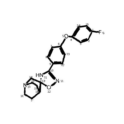 Fc1ccc(Oc2ccc(C3=NO[C@@]4(CN5CCC4CC5)N3)cc2)cc1